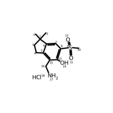 CC1(C)CCc2c1cc(S(C)(=O)=O)c(O)c2CN.Cl